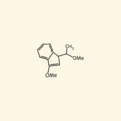 COC1=CC(C(C)OC)c2ccccc21